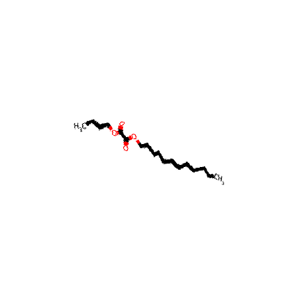 CCCCCCCCCCCCOC(=O)C(=O)OCCCC